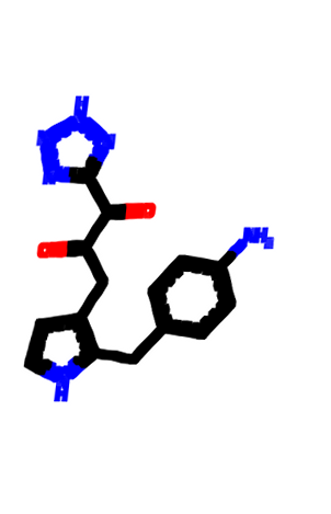 Nc1ccc(Cc2[nH]ccc2CC(=O)C(=O)c2nn[nH]n2)cc1